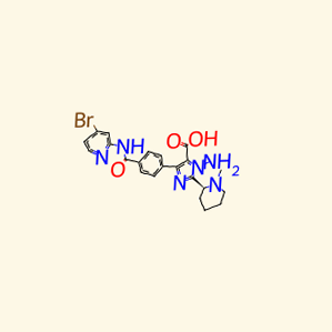 CN1CCCC[C@H]1c1nc(-c2ccc(C(=O)Nc3cc(Br)ccn3)cc2)c(C(=O)O)n1N